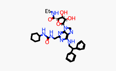 CCNC(=O)[C@H]1O[C@@H](n2cnc3c(NCC(c4ccccc4)c4ccccc4)nc(CNC(=O)NC4CCCCC4)nc32)[C@H](O)[C@@H]1O